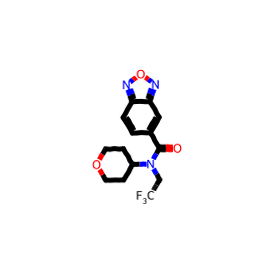 O=C(c1ccc2nonc2c1)N(CC(F)(F)F)C1CCOCC1